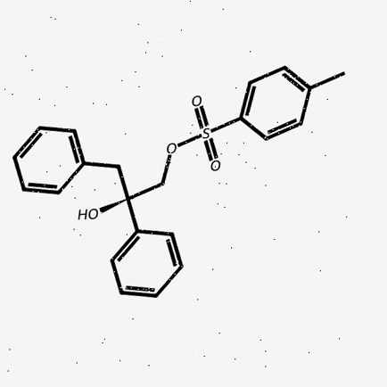 Cc1ccc(S(=O)(=O)OC[C@@](O)(Cc2ccccc2)c2ccccc2)cc1